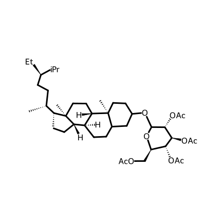 CC[C@H](CC[C@@H](C)[C@H]1CC[C@H]2[C@@H]3CCC4CC(OC5O[C@H](COC(C)=O)[C@@H](OC(C)=O)[C@H](OC(C)=O)[C@H]5OC(C)=O)CC[C@]4(C)[C@H]3CC[C@]12C)C(C)C